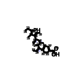 C=C(/C(C)=C\C(=C/C)c1c(C)[pH]c(CC)c1C)/C(=C\C)c1ccc(C(=O)O)cc1